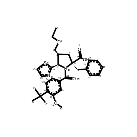 CCOC[C@H]1C[C@@](Cc2ccccc2)(C(=O)O)N(C(=O)c2ccc(C(C)(C)C)c(OC)c2)[C@H]1c1nccs1